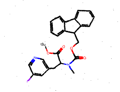 CN(C(=O)OCC1c2ccccc2-c2ccccc21)C(Cc1cncc(I)c1)C(=O)OC(C)(C)C